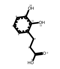 O=C(O)CCc1cccc(O)c1O